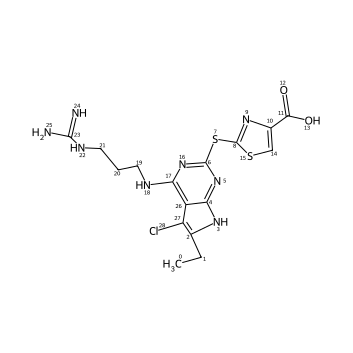 CCc1[nH]c2nc(Sc3nc(C(=O)O)cs3)nc(NCCCNC(=N)N)c2c1Cl